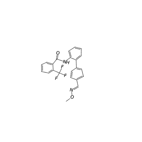 CO/N=C/c1ccc(-c2ccccc2NC(=O)c2ccccc2C(F)(F)F)cc1